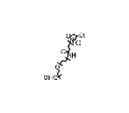 CCC1CC(=O)N(C(C)(C)CCC(=O)NC(C)(C)CCC(C)(C)OCCC(C)(C)C=O)C1=O